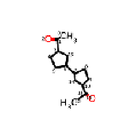 CC(=O)C1CCC(C2CCC(C(C)=O)C2)C1